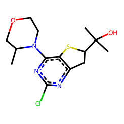 CC1COCCN1c1nc(Cl)nc2c1SC(C(C)(C)O)C2